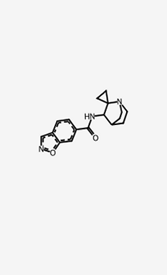 O=C(NC1C2CCN(CC2)C12CC2)c1ccc2cnoc2c1